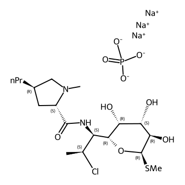 CCC[C@@H]1C[C@@H](C(=O)N[C@@H]([C@H]2O[C@H](SC)[C@H](O)[C@@H](O)[C@H]2O)[C@H](C)Cl)N(C)C1.O=P([O-])([O-])[O-].[Na+].[Na+].[Na+]